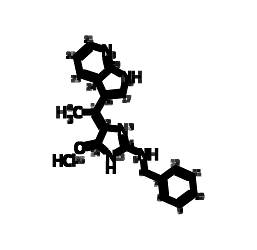 C/C(=C1/N=C(NCc2ccccc2)NC1=O)c1c[nH]c2ncccc12.Cl